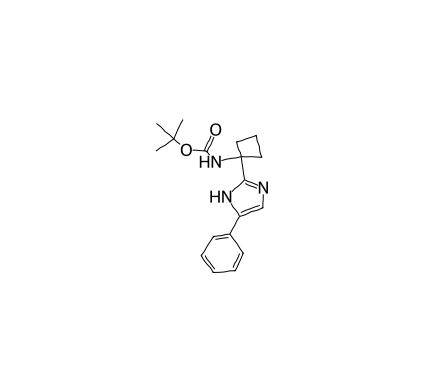 CC(C)(C)OC(=O)NC1(c2ncc(-c3ccccc3)[nH]2)CCC1